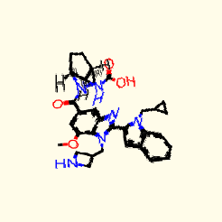 COc1cc(C(=O)N2C[C@H]3CC[C@@H]2[C@@H]3NC(=O)O)cc2nc(-c3cc4ccccc4n3CC3CC3)n(CC3CNC3)c12